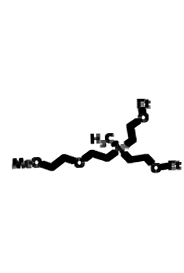 CCOCC[N+](C)(CCOCC)CCOCCOC